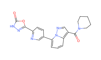 O=C(c1cnn2c(-c3ccc(-c4n[nH]c(=O)o4)nc3)cccc12)N1CCCCC1